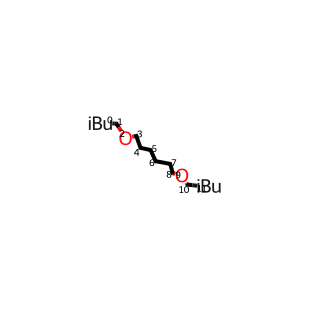 CCC(C)COCCCCCCOCC(C)CC